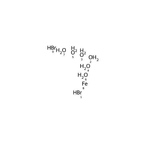 Br.Br.O.O.O.O.O.O.[Fe]